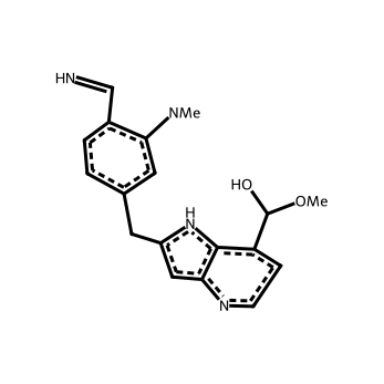 CNc1cc(Cc2cc3nccc(C(O)OC)c3[nH]2)ccc1C=N